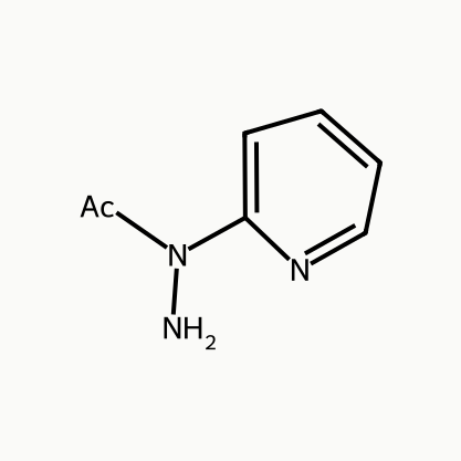 [CH2]C(=O)N(N)c1ccccn1